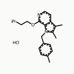 Cc1ccc(Cn2c(C)c(C)c3ccnc(OCCC(C)C)c32)cc1.Cl